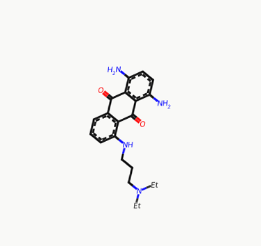 CCN(CC)CCCNc1cccc2c1C(=O)c1c(N)ccc(N)c1C2=O